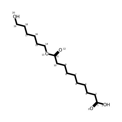 O=C(O)CCCCCCCCC(=O)OCCCCCCO